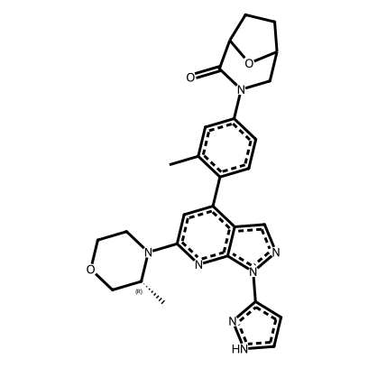 Cc1cc(N2CC3CCC(O3)C2=O)ccc1-c1cc(N2CCOC[C@H]2C)nc2c1cnn2-c1cc[nH]n1